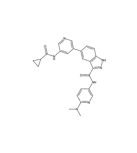 CN(C)c1ccc(NC(=O)c2n[nH]c3ccc(-c4cncc(NC(=O)C5CC5)c4)cc23)cn1